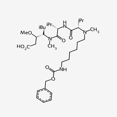 CC[C@H](C)[C@@H](C(CC(=O)O)OC)N(C)C(=O)[C@@H](NC(=O)[C@H](C(C)C)N(C)CCCCCCNC(=O)OCc1ccccc1)C(C)C